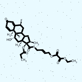 CCOC(=O)C(=O)OC/C=C/CSC(=O)[C@@]1(OC(=O)CC)[C@H](C)CC2C3C[C@H](F)C4=CC(=O)C=C[C@]4(C)[C@@]3(F)[C@@H](O)C[C@@]21C